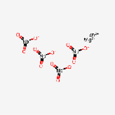 [Mg+2].[O]=[Nb](=[O])[O-].[O]=[Nb](=[O])[O-].[O]=[Nb](=[O])[O-].[O]=[Nb](=[O])[O-].[Zn+2]